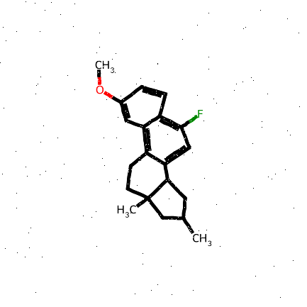 COc1ccc2c(F)cc3c(c2c1)CCC1(C)CC(C)CC31